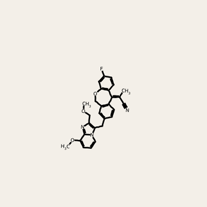 COCc1nc2c(OC)cccn2c1Cc1ccc2c(c1)COc1cc(F)ccc1/C2=C(\C)C#N